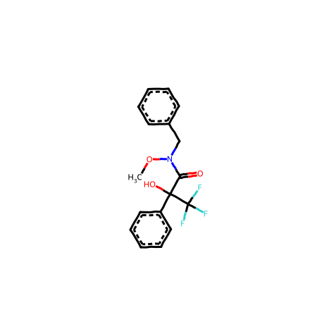 CON(Cc1ccccc1)C(=O)C(O)(c1ccccc1)C(F)(F)F